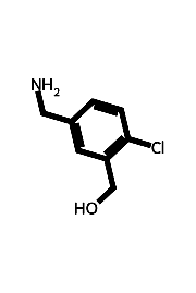 NCc1ccc(Cl)c(CO)c1